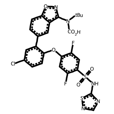 CC(C)(C)N(C(=O)O)c1noc2ccc(-c3cc(Cl)ccc3Oc3cc(F)c(S(=O)(=O)Nc4ncns4)cc3F)cc12